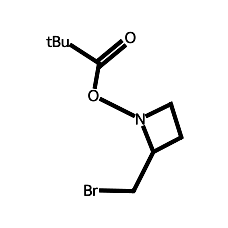 CC(C)(C)C(=O)ON1CCC1CBr